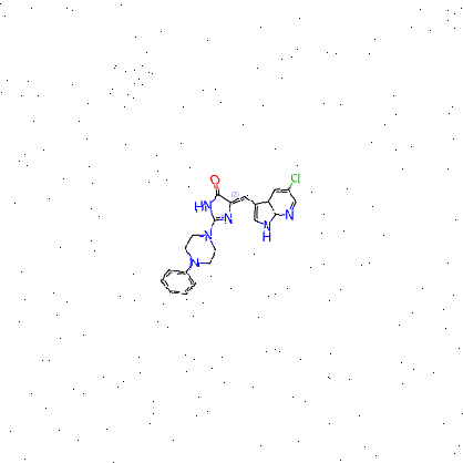 O=C1NC(N2CCN(c3ccccc3)CC2)=N/C1=C\C1=CNC2N=CC(Cl)=CC12